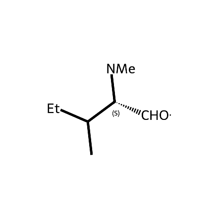 CCC(C)[C@@H]([C]=O)NC